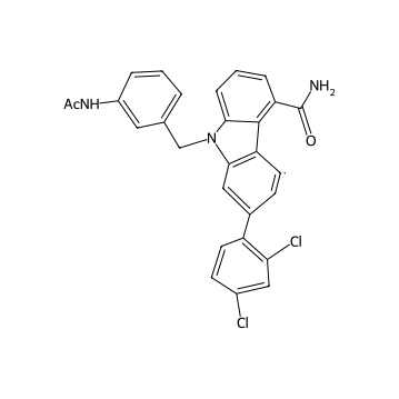 CC(=O)Nc1cccc(Cn2c3cc(-c4ccc(Cl)cc4Cl)c[c]c3c3c(C(N)=O)cccc32)c1